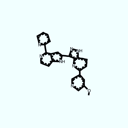 COc1cncc(-c2ccc3[nH]nc(-c4cc5c(-c6ccccn6)nccc5[nH]4)c3n2)c1